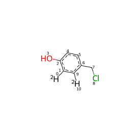 [2H]c1c(O)ccc(CCl)c1[2H]